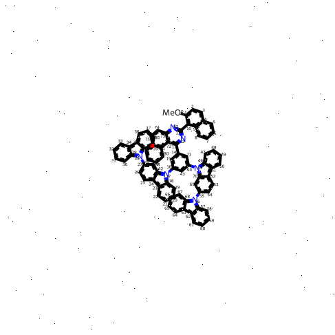 COc1ccc2ccccc2c1-c1nc(-c2cc(-n3c4ccccc4c4ccc(-n5c6ccccc6c6ccccc65)cc43)cc(-n3c4ccccc4c4ccc(-n5c6ccccc6c6ccccc65)cc43)c2)c2c(ccc3ccccc32)n1